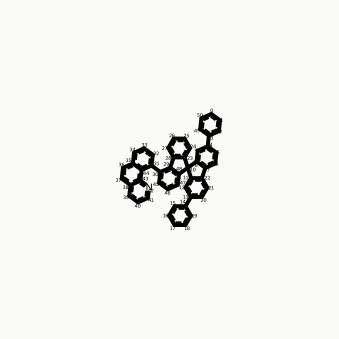 c1ccc(-c2ccc3c(c2)C2(c4cc(-c5ccccc5)ccc4-3)c3ccccc3-c3c(-c4cccc5ccc6cccnc6c45)cccc32)cc1